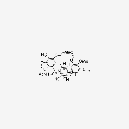 C=CCOc1c(C)c2c(c3c1C[C@H]1[C@H]4c5c(cc(C)c(OC)c5OCOC)C[C@H]([C@H](C#N)N1[C@H]3CNC(C)=O)N4C)OCO2